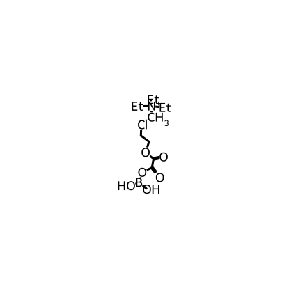 CC[N+](C)(CC)CC.O=C(OCCCl)C(=O)OB(O)O